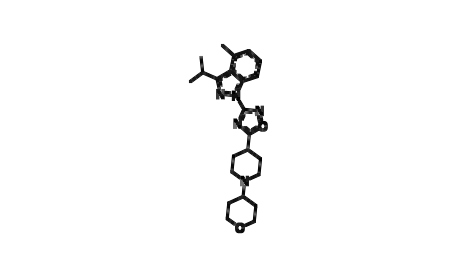 Cc1cccc2c1c(C(C)C)nn2-c1noc(C2CCN(C3CCOCC3)CC2)n1